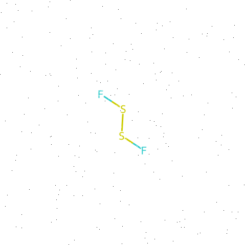 FSSF